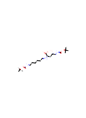 CC(C)(C)OC(=O)NCCCCCCNC(CCCNC(=O)OC(C)(C)C)C(=O)O